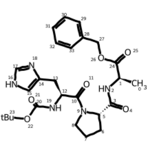 C[C@@H](NC(=O)[C@@H]1CCCN1C(=O)[C@H](Cc1c[nH]cn1)NC(=O)OC(C)(C)C)C(=O)OCc1ccccc1